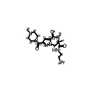 CC(C)CCNC(=O)C1(C)Cn2nc(C(=O)N3CCN(C)CC3)cc2C(=O)N1C